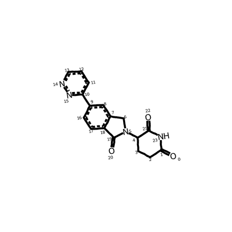 O=C1CCC(N2Cc3cc(-c4cccnn4)ccc3C2=O)C(=O)N1